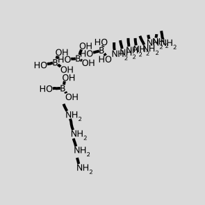 CN.CN.CN.CN.CN.CN.CN.CN.CN.CN.CN.CN.OB(O)O.OB(O)O.OB(O)O.OB(O)O